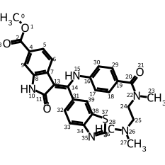 COC(=O)c1ccc2c(c1)NC(=O)C2=C(Nc1ccc(C(=O)N(C)CCN(C)C)cc1)c1ccc2ncsc2c1